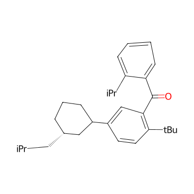 CC(C)C[C@@H]1CCCC(c2ccc(C(C)(C)C)c(C(=O)c3ccccc3C(C)C)c2)C1